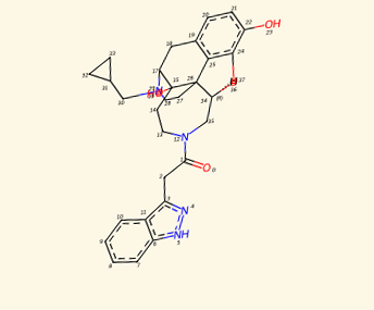 O=C(Cc1n[nH]c2ccccc12)N1CCC2(O)C3Cc4ccc(O)c5c4C2(CCN3CC2CC2)[C@H](C1)O5